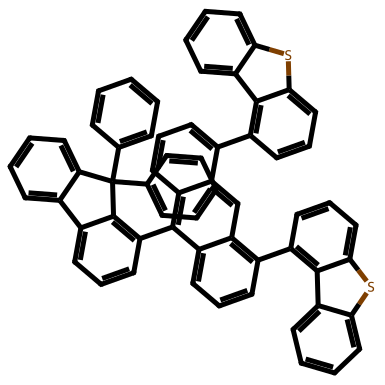 c1ccc(C2(c3ccccc3)c3ccccc3-c3cccc(-c4c5cccc(-c6cccc7sc8ccccc8c67)c5cc5c(-c6cccc7sc8ccccc8c67)cccc45)c32)cc1